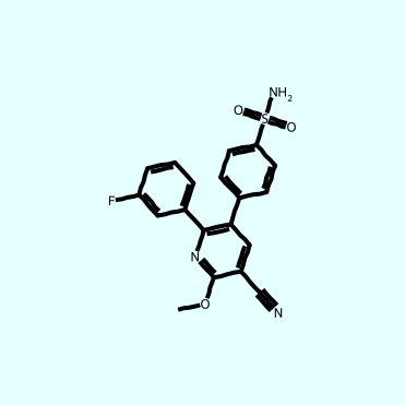 COc1nc(-c2cccc(F)c2)c(-c2ccc(S(N)(=O)=O)cc2)cc1C#N